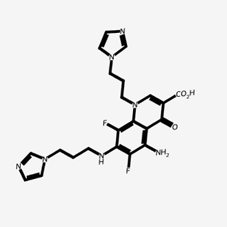 Nc1c(F)c(NCCCn2ccnc2)c(F)c2c1c(=O)c(C(=O)O)cn2CCCn1ccnc1